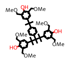 COCc1cc(C(C)(C)c2ccc(C(C)(C(C)(C)c3cc(COC)c(O)c(COC)c3)C(C)(C)c3cc(COC)c(O)c(COC)c3)cc2)cc(COC)c1O